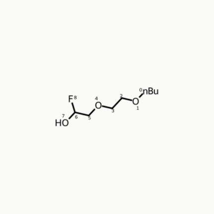 CCCCOCCOCC(O)F